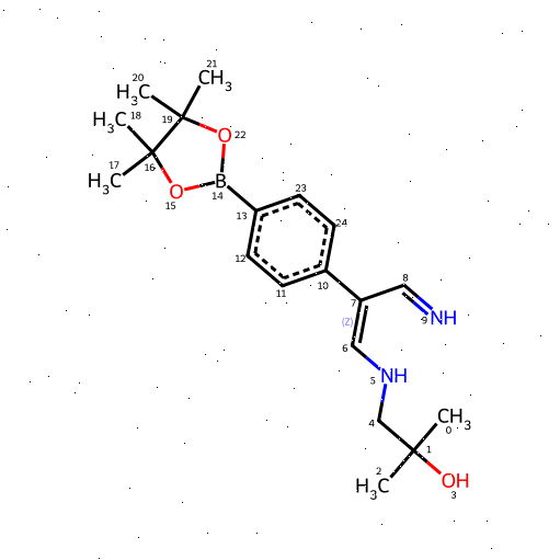 CC(C)(O)CN/C=C(\C=N)c1ccc(B2OC(C)(C)C(C)(C)O2)cc1